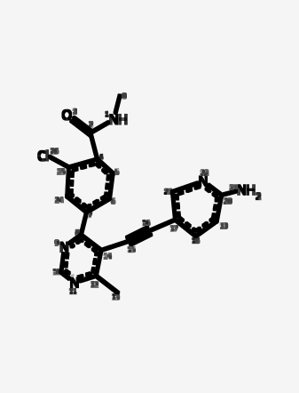 CNC(=O)c1ccc(-c2ncnc(C)c2C#Cc2ccc(N)nc2)cc1Cl